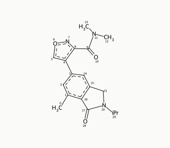 Cc1cc(-c2conc2C(=O)N(C)C)cc2c1C(=O)N(C(C)C)C2